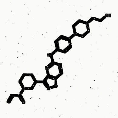 C=CC(=O)N1CCCC(c2noc3cnc(Nc4ccc(N5CCN(CCO)CC5)cc4)nc23)C1